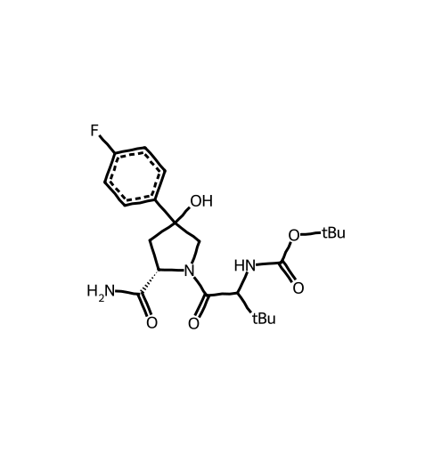 CC(C)(C)OC(=O)NC(C(=O)N1CC(O)(c2ccc(F)cc2)C[C@H]1C(N)=O)C(C)(C)C